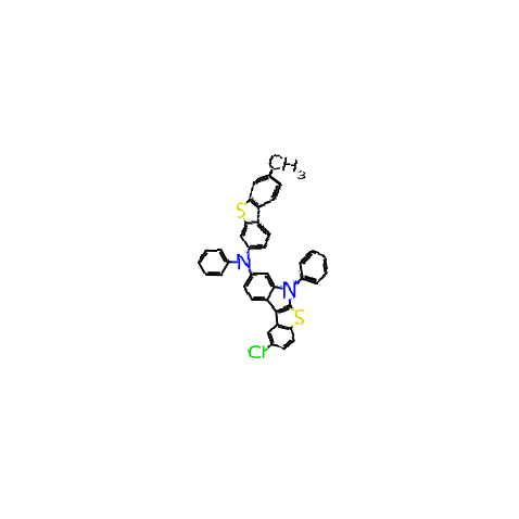 Cc1ccc2c(c1)sc1cc(N(c3ccccc3)c3ccc4c5c6cc(Cl)ccc6sc5n(-c5ccccc5)c4c3)ccc12